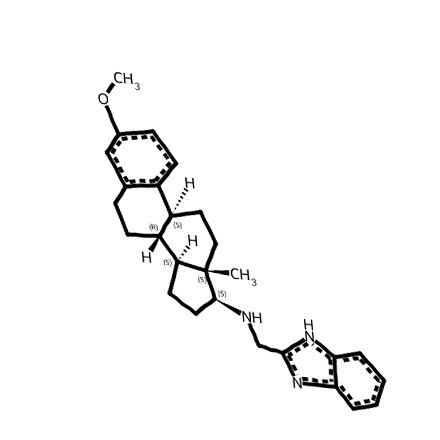 COc1ccc2c(c1)CC[C@@H]1[C@@H]2CC[C@]2(C)[C@@H](NCc3nc4ccccc4[nH]3)CC[C@@H]12